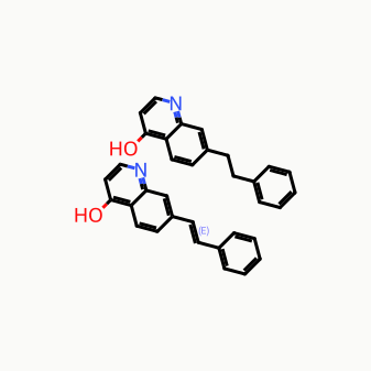 Oc1ccnc2cc(/C=C/c3ccccc3)ccc12.Oc1ccnc2cc(CCc3ccccc3)ccc12